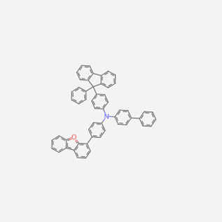 c1ccc(-c2ccc(N(c3ccc(-c4cccc5c4oc4ccccc45)cc3)c3ccc(C4(c5ccccc5)c5ccccc5-c5ccccc54)cc3)cc2)cc1